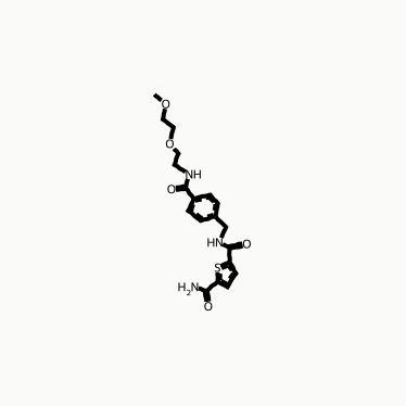 COCCOCCNC(=O)c1ccc(CNC(=O)c2ccc(C(N)=O)s2)cc1